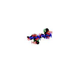 C=CC(=O)N1CC2COc3c(c4cc(F)c(-c5c(O)cccc5F)c(Cl)c4n(-c4c(C(C)C)nc(C(=C)C(=O)N5CC6CNc7c(c8cc(F)c(-c9c(O)cccc9F)c(Cl)c8n(-c8c(C(C)C)ncnc8C(C)C)c7=O)N6CC5C)nc4C(C)C)c3=O)N2CC1C